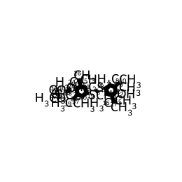 CC(C)(Sc1cc(C(C)(C)C)c(O)c(C(C)(C)C)c1)Sc1cc(C(C)(C)C)c(OCOS(C)(=O)=O)c(C(C)(C)C)c1